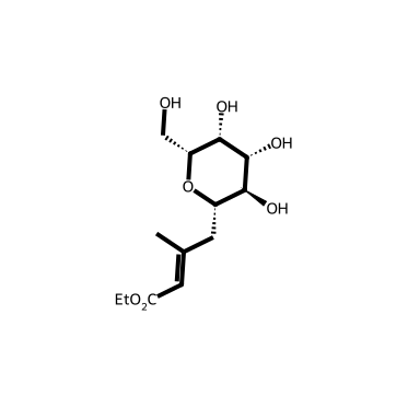 CCOC(=O)/C=C(\C)C[C@@H]1O[C@H](CO)[C@H](O)[C@H](O)[C@H]1O